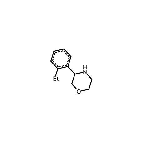 CCc1ccccc1C1COCCN1